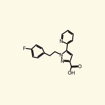 O=C(O)c1cc(-c2ccccn2)n(CCc2ccc(F)cc2)n1